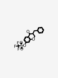 O=C1c2ccc(OS(=O)(=O)C(F)(F)F)cc2OCC1Cc1ccccc1